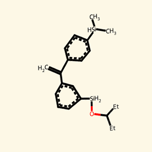 C=C(c1ccc([SiH](C)C)cc1)c1cccc([SiH2]OC(CC)CC)c1